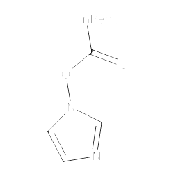 CCCCCC(=O)On1ccnc1